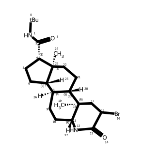 CC(C)(C)NC(=O)[C@H]1CC[C@H]2[C@@H]3CC[C@H]4NC(=O)C(Br)C[C@]4(C)[C@H]3CC[C@]12C